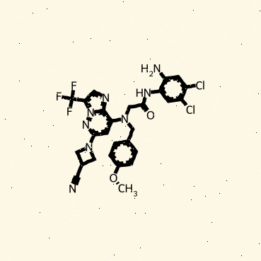 COc1ccc(CN(CC(=O)Nc2cc(Cl)c(Cl)cc2N)c2cc(N3CC(C#N)C3)nn3c(C(F)(F)F)cnc23)cc1